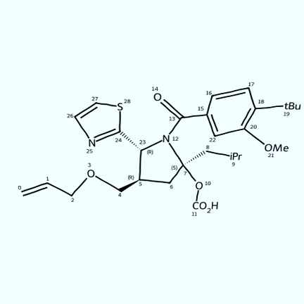 C=CCOC[C@@H]1C[C@](CC(C)C)(OC(=O)O)N(C(=O)c2ccc(C(C)(C)C)c(OC)c2)[C@H]1c1nccs1